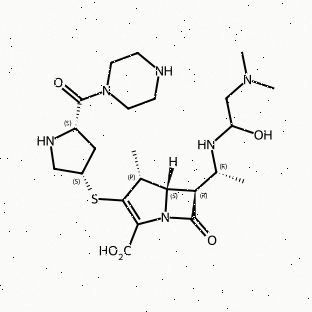 C[C@@H](NC(O)CN(C)C)[C@H]1C(=O)N2C(C(=O)O)=C(S[C@@H]3CN[C@H](C(=O)N4CCNCC4)C3)[C@H](C)[C@H]12